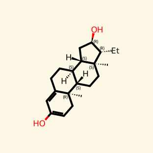 CC[C@H]1[C@H](O)C[C@H]2[C@@H]3CCC4=CC(O)=CC[C@]4(C)[C@H]3CC[C@@]21C